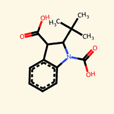 CC(C)(C)C1C(C(=O)O)c2ccccc2N1C(=O)O